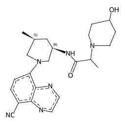 CC(C(=O)N[C@@H]1C[C@H](C)CN(c2ccc(C#N)c3nccnc23)C1)N1CCC(O)CC1